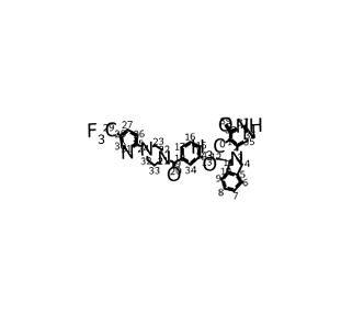 Cc1c(N2Cc3ccccc3[C@H]2COc2cccc(C(=O)N3CCN(c4ccc(C(F)(F)F)cn4)CC3)c2)cn[nH]c1=O